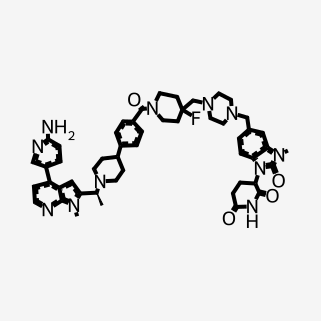 C[C@@H](c1cc2c(-c3ccc(N)nc3)ccnc2n1C)N1CCC(c2ccc(C(=O)N3CCC(F)(CN4CCN(Cc5ccc6c(c5)n(C)c(=O)n6C5CCC(=O)NC5=O)CC4)CC3)cc2)CC1